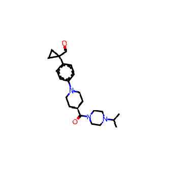 CC(C)N1CCN(C(=O)C2CCN(c3ccc(C4(C=O)CC4)cc3)CC2)CC1